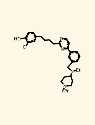 CCCN1CCC(N(CC)Cc2cccc(-c3ccnc(CCCCc4ccc(O)c(Cl)c4)n3)c2)CC1